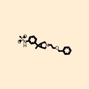 CC1(c2cccc(NS(C)(=O)=O)c2)C2CN(CCOCc3ccccc3)CC21